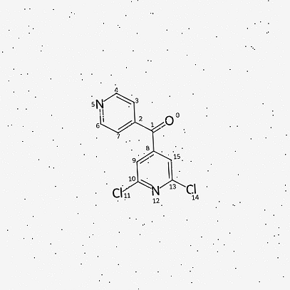 O=C(c1ccncc1)c1cc(Cl)nc(Cl)c1